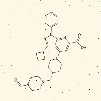 O=CN1CCN(CC2CCN(c3cc(C(=O)O)nc4c3c(C3CCC3)nn4-c3ccccc3)CC2)CC1